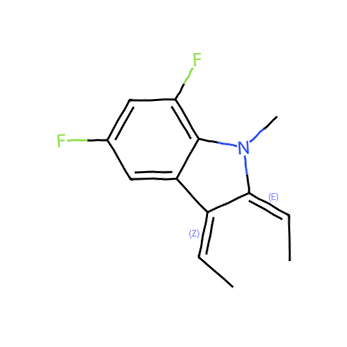 C/C=c1\c(=C/C)n(C)c2c(F)cc(F)cc12